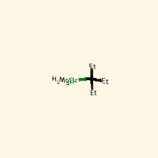 CCC(Br)(CC)CC.[MgH2]